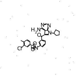 Cc1ccc(S(=O)(=O)Nc2cccc(C(=O)c3cn(C4CCCC4)c4ncnc(N)c34)c2)cc1Cl